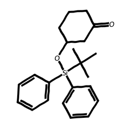 CC(C)(C)[Si](OC1CCCC(=O)C1)(c1ccccc1)c1ccccc1